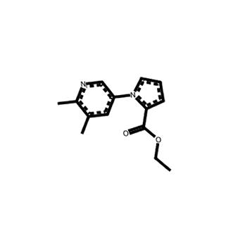 CCOC(=O)c1cccn1-c1cnc(C)c(C)c1